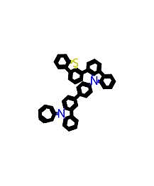 C1#CCC(n2c3ccccc3c3cc(-c4ccc(-n5c6ccccc6c6cccc(-c7cccc8c7sc7ccccc78)c65)cc4)ccc32)=CC=C1